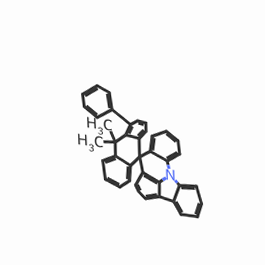 CC1(C)c2ccccc2C2(c3ccccc3-n3c4ccccc4c4cccc2c43)c2cccc(-c3ccccc3)c21